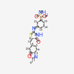 Cc1nc2ccc(C=C3SC(=Nc4cccc(S(N)(=O)=O)c4)NC3=O)cc2o1